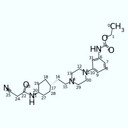 CCOC(=O)Nc1cccc(N2CCN(CC[C@H]3CC[C@H](NC(=O)CC#N)CC3)CC2)c1